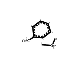 O=Cc1ccccc1.[CH3][Sn][CH3]